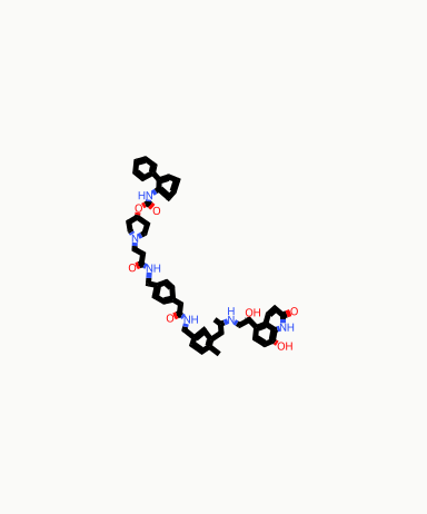 Cc1ccc(CNC(=O)Cc2ccc(CNC(=O)CCN3CCC(OC(=O)Nc4ccccc4-c4ccccc4)CC3)cc2)cc1CC(C)NC[C@@H](O)c1ccc(O)c2[nH]c(=O)ccc12